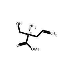 C=CC[C@](N)(CO)C(=O)OC